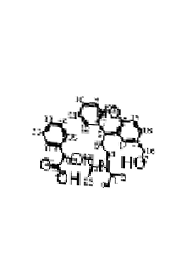 CC(C)N(CCC(c1ccccc1)c1cc(CO)ccc1O)C(C)C.O=C(O)C(O)c1ccccc1